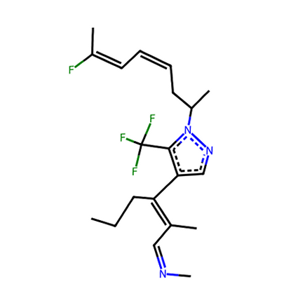 CCC/C(=C(C)\C=N/C)c1cnn(C(C)C/C=C\C=C(/C)F)c1C(F)(F)F